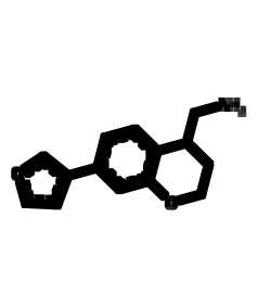 NCC1CCOc2cc(-c3ccoc3)ccc21